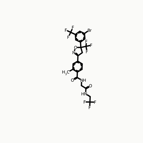 Cc1cc(C2=NOC(c3cc(Br)cc(C(F)(F)F)c3)(C(F)(F)F)C2)ccc1C(=O)NCC(=O)NCC(F)(F)F